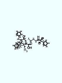 CC(C)(C)N(C(=O)O)[C@@H](CCCCNS(=O)(=O)c1cccs1)C(=O)N(Cc1cccs1)Cc1cccs1